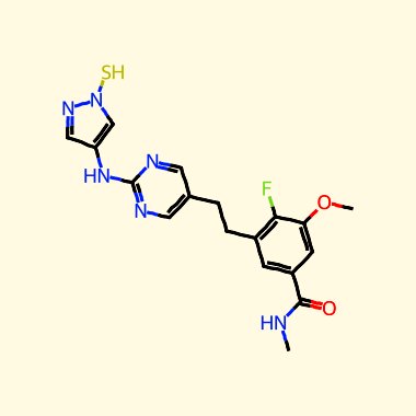 CNC(=O)c1cc(CCc2cnc(Nc3cnn(S)c3)nc2)c(F)c(OC)c1